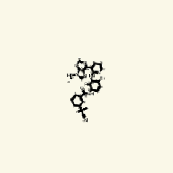 CC(C)(C#N)c1cccc(C(=O)Nc2ccc(F)c(Nc3ncccc3-c3ncnc4c3ncn4PI)c2F)c1